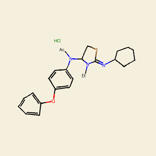 CCN1C(=NC2CCCCC2)SCC1N(C(C)=O)c1ccc(Oc2ccccc2)cc1.Cl